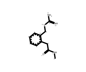 CNC(=O)Cc1ccccc1CSC(=N)N